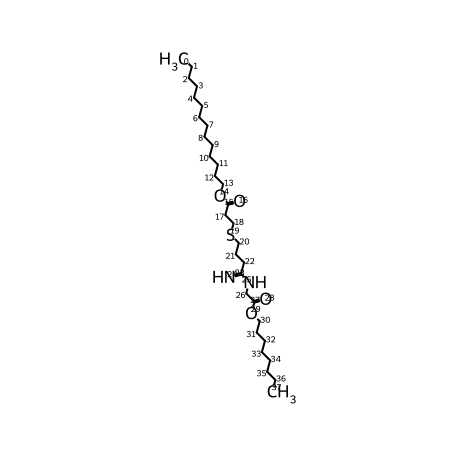 CCCCCCCCCCCCCCOC(=O)CCSCCCC(=N)NCC(=O)OCCCCCCCC